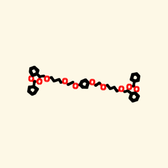 O=C(OC(COCCCCOCCOc1ccc(OCCOCCCCOCC(OC(=O)c2ccccc2)c2ccccc2)cc1)c1ccccc1)c1ccccc1